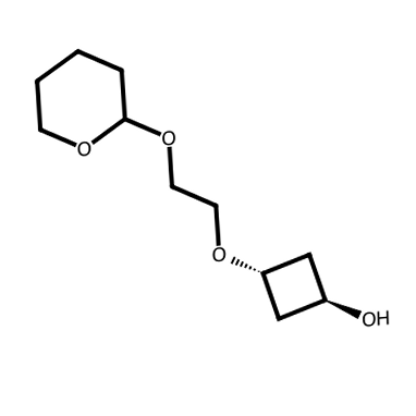 O[C@H]1C[C@H](OCCOC2CCCCO2)C1